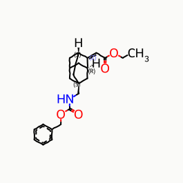 CCOC(=O)/C=C1\[C@@H]2CC3C[C@H]1C[C@@](CNC(=O)OCc1ccccc1)(C3)C2